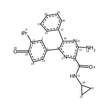 CC(C)n1cc(-c2nc(C(=O)NC3CC3)c(N)nc2-c2ccccc2)ccc1=O